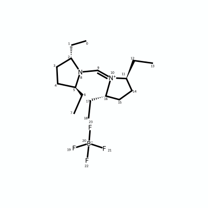 CC[C@H]1CC[C@H](CC)N1C=[N+]1[C@@H](CC)CC[C@@H]1CC.F[B-](F)(F)F